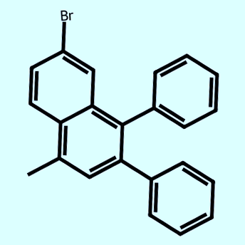 Cc1cc(-c2ccccc2)c(-c2ccccc2)c2cc(Br)ccc12